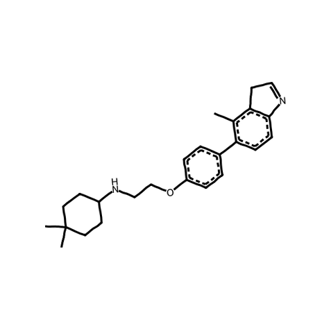 Cc1c(-c2ccc(OCCNC3CCC(C)(C)CC3)cc2)ccc2c1CC=N2